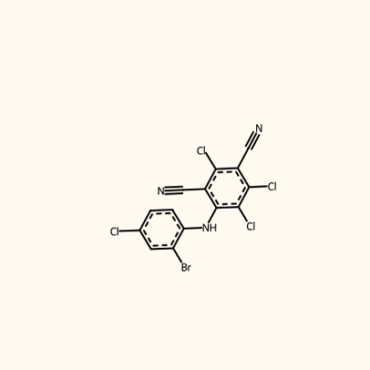 N#Cc1c(Cl)c(Cl)c(Nc2ccc(Cl)cc2Br)c(C#N)c1Cl